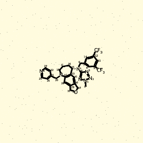 Cn1nnc(N(Cc2cc(C(F)(F)F)cc(C(F)(F)F)c2)[C@H]2CCCN(Cc3ccncc3)c3cc4c(cc32)COC4)n1